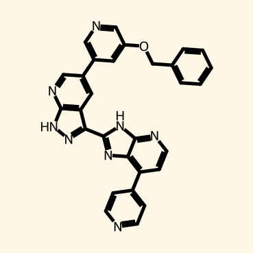 c1ccc(COc2cncc(-c3cnc4[nH]nc(-c5nc6c(-c7ccncc7)ccnc6[nH]5)c4c3)c2)cc1